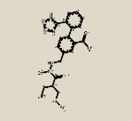 CCCC(=O)c1cc(CNN(CC)C(=O)C(CSC(C)=O)CC(C)C)ccc1-c1ccccc1-c1nnn[nH]1